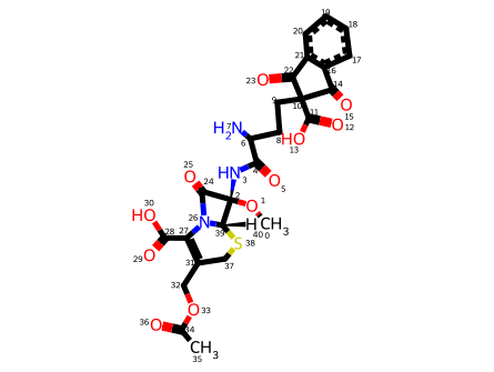 CO[C@@]1(NC(=O)C(N)CCC2(C(=O)O)C(=O)c3ccccc3C2=O)C(=O)N2C(C(=O)O)=C(COC(C)=O)CS[C@H]21